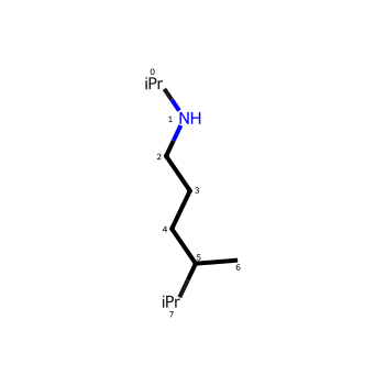 CC(C)NCCCC(C)C(C)C